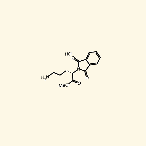 COC(=O)[C@H](CCCN)N1C(=O)c2ccccc2C1=O.Cl